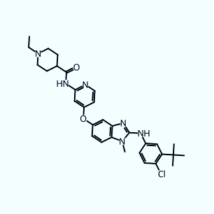 CCN1CCC(C(=O)Nc2cc(Oc3ccc4c(c3)nc(Nc3ccc(Cl)c(C(C)(C)C)c3)n4C)ccn2)CC1